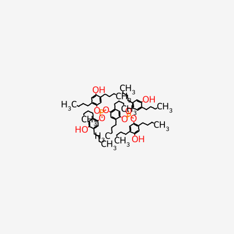 CCCCc1cc(OP(Oc2cc(CCCC)c(O)cc2CCCC)Oc2cc(CCCC)c(OP(Oc3cc(CCCC)c(O)cc3CCCC)Oc3cc(CCCC)c(O)cc3CCCC)cc2CCCC)c(CCCC)cc1O